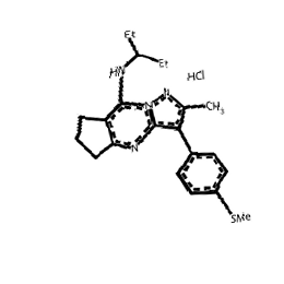 CCC(CC)Nc1c2c(nc3c(-c4ccc(SC)cc4)c(C)nn13)CCC2.Cl